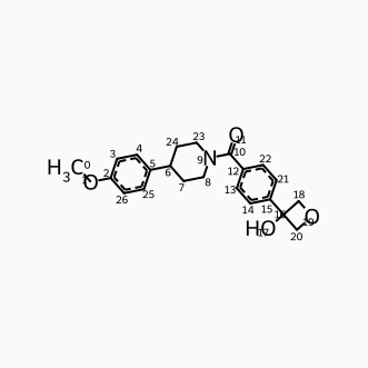 COc1ccc(C2CCN(C(=O)c3ccc(C4(O)COC4)cc3)CC2)cc1